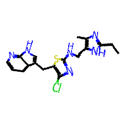 CCc1nc(C)c(CNc2nc(Cl)c(CC3=CNC4=NC=CCC34)s2)[nH]1